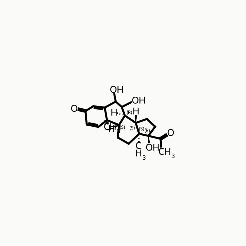 CC(=O)[C@@]1(O)CC[C@H]2[C@@H]3C(O)C(O)C4=CC(=O)C=C[C@]4(C)[C@H]3CC[C@@]21C